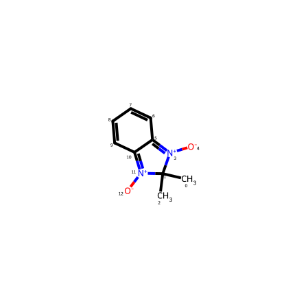 CC1(C)[N+]([O-])=c2ccccc2=[N+]1[O-]